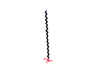 O=P(O)(O)CCCCCCCCCCCCCCCCCCCCCCCCCCI